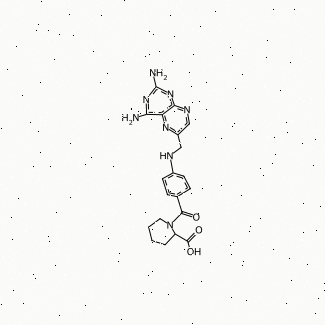 Nc1nc(N)c2nc(CNc3ccc(C(=O)N4CCCCC4C(=O)O)cc3)cnc2n1